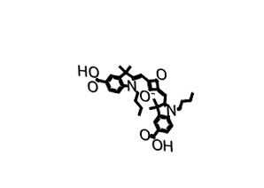 CCCCN1/C(=C\C2=C([O-])C(=CC3=[N+](CCCC)c4ccc(C(=O)O)cc4C3(C)C)C2=O)C(C)(C)c2cc(C(=O)O)ccc21